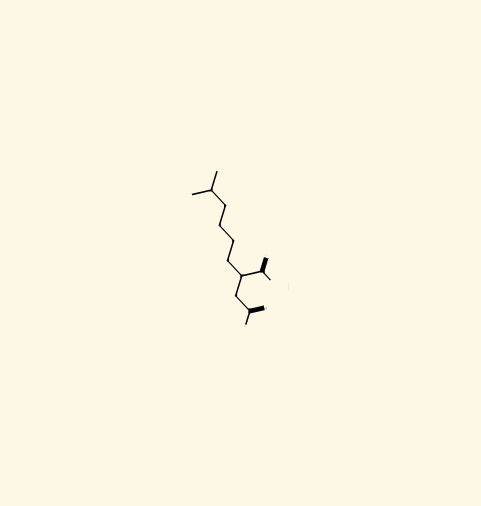 CC(C)CCCCC(CC(=O)O)C(=O)O